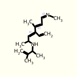 C=CC(=C\C(C)NC(C)C(=C)C)/C(C)=C/C=N\C